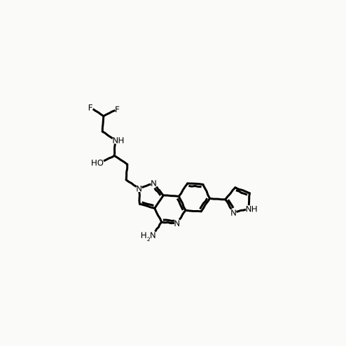 Nc1nc2cc(-c3cc[nH]n3)ccc2c2nn(CCC(O)NCC(F)F)cc12